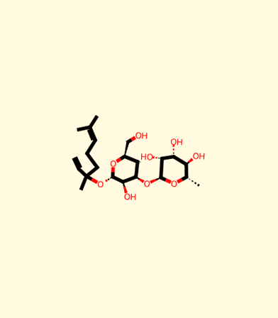 C=CC(C)(CCC=C(C)C)O[C@@H]1O[C@@H](CO)[CH][C@@H](O[C@@H]2O[C@@H](C)[C@H](O)[C@@H](O)[C@H]2O)[C@H]1O